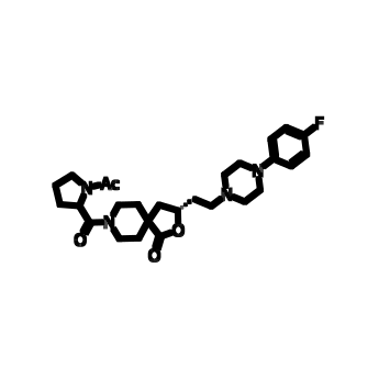 CC(=O)N1CCCC1C(=O)N1CCC2(CC1)C[C@H](CCN1CCN(c3ccc(F)cc3)CC1)OC2=O